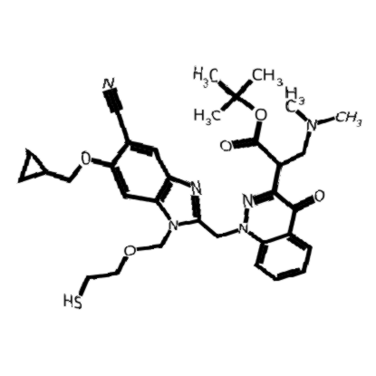 CN(C)CC(C(=O)OC(C)(C)C)c1nn(Cc2nc3cc(C#N)c(OCC4CC4)cc3n2COCCS)c2ccccc2c1=O